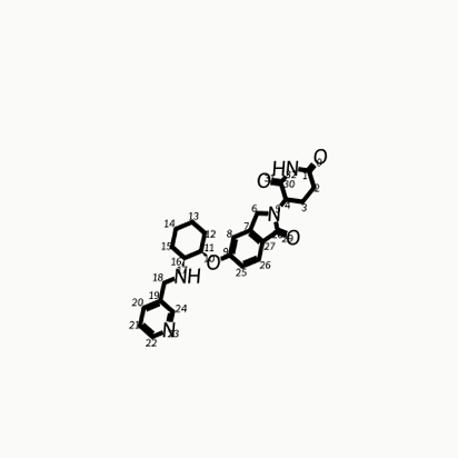 O=C1CCC(N2Cc3cc(O[C@H]4CCCC[C@H]4NCc4cccnc4)ccc3C2=O)C(=O)N1